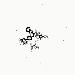 Cc1cc(S(=O)(=O)N[C@@H](Cc2ccc(C3CC(=O)NS3(=O)=O)cc2)c2nc3ccccc3[nH]2)c(C(F)(F)F)o1.O=C(O)C(F)(F)F